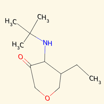 CCC1COCC(=O)C1NC(C)(C)C